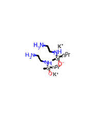 CCC[Si](C)([O-])NCCN.CCC[Si](C)([O-])NCCN.[K+].[K+]